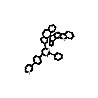 C1=Cc2ccc(-c3cc(-c4ccc(-c5cccnc5)cc4)nc(-c4ccccc4)n3)cc2C2(c3ccccc31)c1ccccc1-c1c2ccc2c1sc1ccccc12